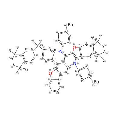 CC(C)(C)c1ccc(N2B3c4oc5cc6c(cc5c4N(c4ccc(C(C)(C)C)cc4)c4cc5c(oc7ccccc75)c(c43)-c3cc4c(cc32)C(C)(C)c2cc3c(cc2-4)C(C)(C)CCC3(C)C)C(C)(C)CCC6(C)C)cc1